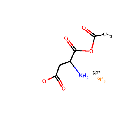 CC(=O)OC(=O)C(N)CC(=O)[O-].P.[Na+]